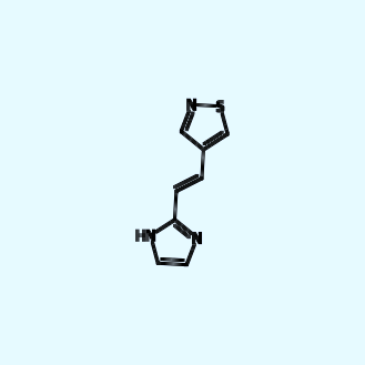 C(=Cc1ncc[nH]1)c1cnsc1